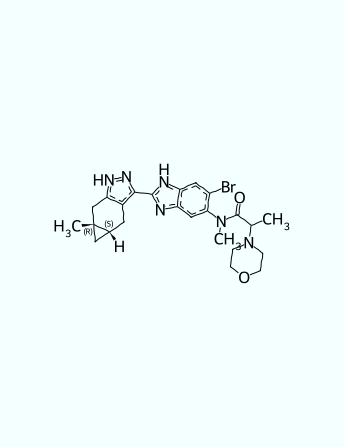 CC(C(=O)N(C)c1cc2nc(-c3n[nH]c4c3C[C@@H]3C[C@]3(C)C4)[nH]c2cc1Br)N1CCOCC1